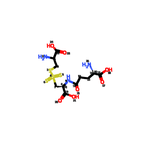 NC(CSS(=S)(=S)C[C@H](NC(=O)CC[C@H](N)C(=O)O)C(=O)O)C(=O)O